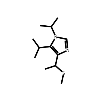 CSC(C)c1ncn(C(C)C)c1C(C)C